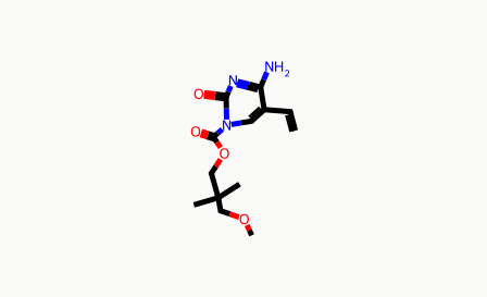 C=Cc1cn(C(=O)OCC(C)(C)COC)c(=O)nc1N